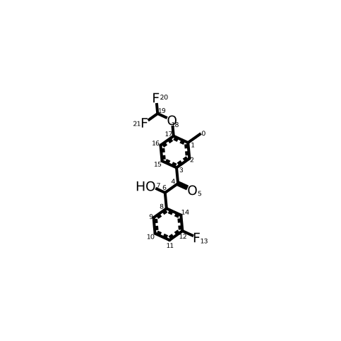 Cc1cc(C(=O)C(O)c2cccc(F)c2)ccc1OC(F)F